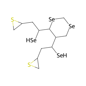 [SeH]C(CC1CS1)C1C[Se]C[Se]C1C([SeH])CC1CS1